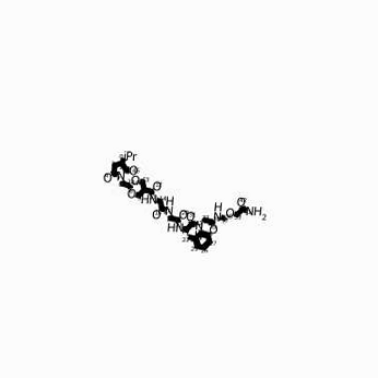 CC(C)C1CC(=O)N(CC2OCC(C(=O)NCC(=O)NCC(=O)N[C@@H](Cc3ccccc3)C(=O)NCC(=O)NCOCC(N)=O)CO2)C1=O